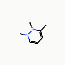 CC1=CC=CN(C)N1C